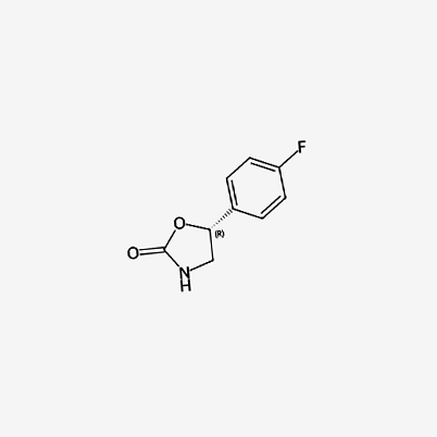 O=C1NC[C@@H](c2ccc(F)cc2)O1